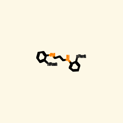 CCCCCc1ccccc1PCCCPc1ccccc1CCCCC